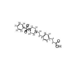 O=C(O)CCc1ccc(CCN2CCN(S(=O)(=O)c3ccccc3)CC2)cc1